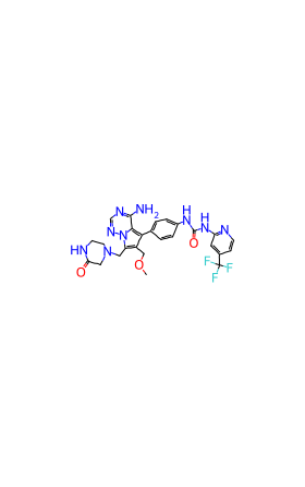 COCc1c(-c2ccc(NC(=O)Nc3cc(C(F)(F)F)ccn3)cc2)c2c(N)ncnn2c1CN1CCNC(=O)C1